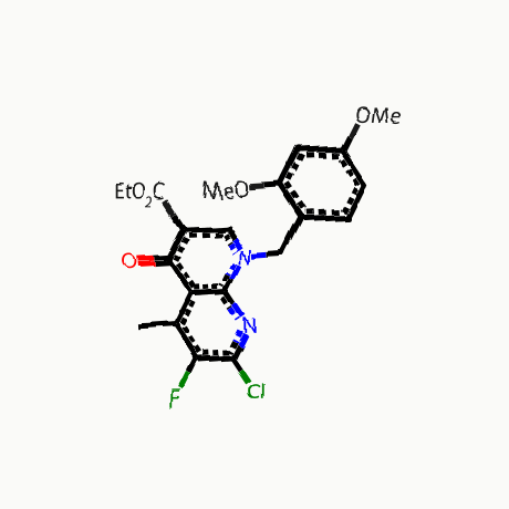 CCOC(=O)c1cn(Cc2ccc(OC)cc2OC)c2nc(Cl)c(F)c(C)c2c1=O